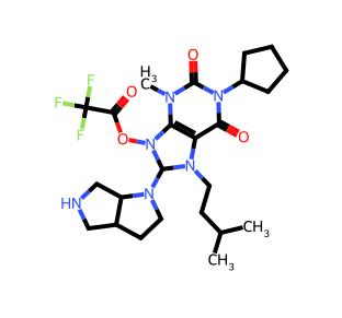 CC(C)CCN1c2c(n(C)c(=O)n(C3CCCC3)c2=O)N(OC(=O)C(F)(F)F)C1N1CCC2CNCC21